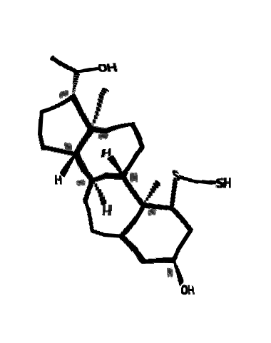 CC(O)[C@H]1CC[C@H]2[C@@H]3CCC4C[C@H](O)CC(SS)[C@]4(C)[C@H]3CC[C@]12C